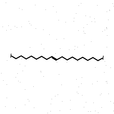 ICCCCCCCC=CCCCCCCCCI